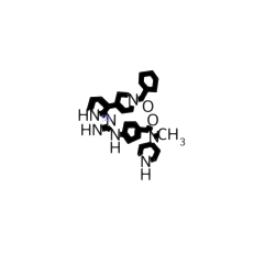 CN(C(=O)c1ccc(NC(=N)/N=c2\[nH]cccc2C2=CCN(C(=O)C3CCCCC3)CC2)cc1)C1CCNCC1